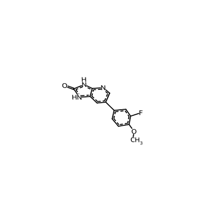 COc1ccc(-c2cnc3[nH]c(=O)[nH]c3c2)cc1F